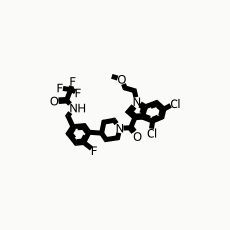 COCCn1cc(C(=O)N2CCC(c3cc(CNC(=O)C(F)(F)F)ccc3F)CC2)c2c(Cl)cc(Cl)cc21